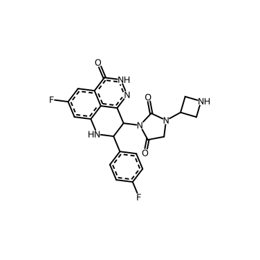 O=C1CN(C2CNC2)C(=O)N1C1c2n[nH]c(=O)c3cc(F)cc(c23)NC1c1ccc(F)cc1